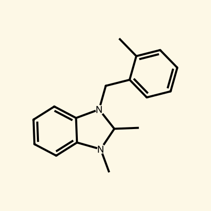 Cc1ccccc1CN1c2ccccc2N(C)C1C